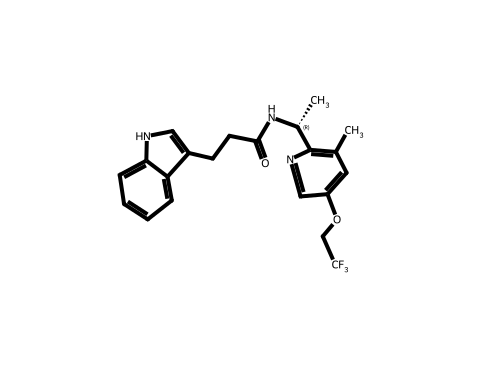 Cc1cc(OCC(F)(F)F)cnc1[C@@H](C)NC(=O)CCc1c[nH]c2ccccc12